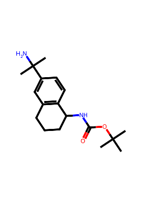 CC(C)(C)OC(=O)NC1CCCc2cc(C(C)(C)N)ccc21